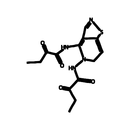 CCC(=O)C(=O)NC1=c2cnsc2=CCN1NC(=O)C(=O)CC